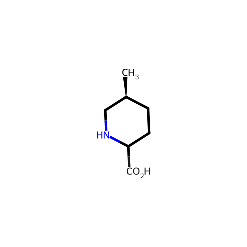 C[C@H]1CCC(C(=O)O)NC1